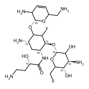 NCC[C@H](O)C(=O)N[C@@H]1C[C@H](N)C(O[C@H]2OC(CN)C=CC2N)C(F)[C@H]1O[C@H]1OC(CF)[C@@H](O)[C@H](N)C1O